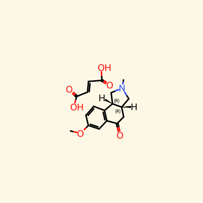 COc1ccc2c(c1)C(=O)C[C@H]1CN(C)C[C@@H]21.O=C(O)C=CC(=O)O